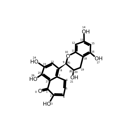 O=c1c(O)cccc2c([C@H]3Oc4cc(O)cc(O)c4C[C@H]3O)cc(O)c(O)c12